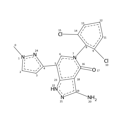 Cn1ccc(-c2cn(-c3c(Cl)cccc3Cl)c(=O)c3c(N)n[nH]c23)n1